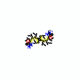 [C-]#[N+]/C(C#N)=C1\C(=Cc2cc(CC(CC)CCCC)c(-c3cc(CC(CC)CCCC)c(-c4cc(CC(CC)CCCC)c(-c5cc6c(-c7ccc(CC(CC)CCCC)s7)c7sc(-c8sc(-c9sc(-c%10sc(C=C%11C(=O)c%12ccccc%12/C%11=C(/C#N)[N+]#[C-])cc%10CC(CC)CCCC)cc9CC(CC)CCCCC)cc8CC(CC)CCCC)cc7c(-c7ccc(CC(CC)CCCC)s7)c6s5)s4)s3)s2)C(=O)c2ccccc21